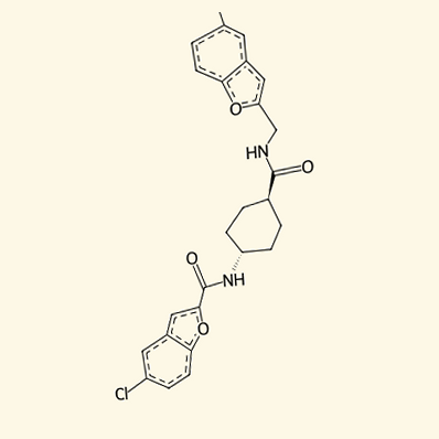 O=C(N[C@H]1CC[C@H](C(=O)NCc2cc3cc(Cl)ccc3o2)CC1)c1cc2cc(Cl)ccc2o1